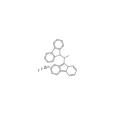 CC(C1=c2ccccc2=C2C=CC=CC21)C1c2ccccc2-c2ccccc21.[I-].[I-].[Zr+2]